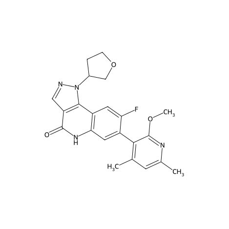 COc1nc(C)cc(C)c1-c1cc2[nH]c(=O)c3cnn(C4CCOC4)c3c2cc1F